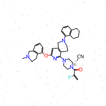 C=C(F)C(=O)N1CCN(c2nc(Oc3cccc4c3CCN(C)C4)cc3c2CCN(c2cccc4c2CCCC4)C3)C[C@@H]1CC#N